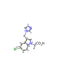 CC(C(=O)O)n1cc(Cn2ccnc2)c2cc(Br)ccc21